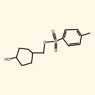 Cc1ccc(S(=O)(=O)OCC2CCC(O)CC2)cc1